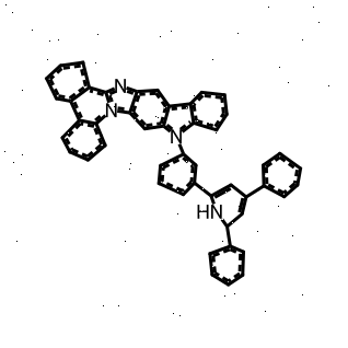 C1=C(c2ccccc2)C=C(c2cccc(-n3c4ccccc4c4cc5nc6c7ccccc7c7ccccc7n6c5cc43)c2)NC1c1ccccc1